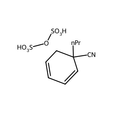 CCCC1(C#N)C=CC=CC1.O=S(=O)(O)OS(=O)(=O)O